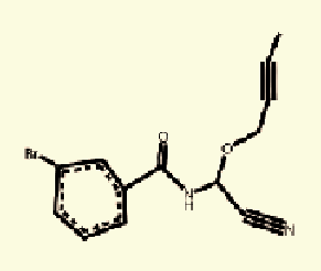 CC#CCOC(C#N)NC(=O)c1cccc(Br)c1